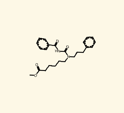 COC(=O)CCCCCN(CCCc1ccccc1)C(=O)NC(=O)c1ccccc1